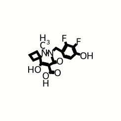 CN1N(Cc2ccc(O)c(F)c2F)C(=O)C(C(=O)O)=C(O)C12CCC2